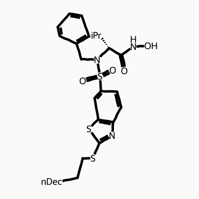 CCCCCCCCCCCCSc1nc2ccc(S(=O)(=O)N(Cc3ccccc3)[C@@H](C(=O)NO)C(C)C)cc2s1